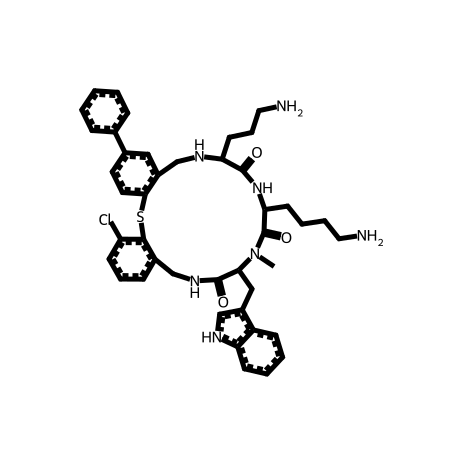 CN1C(=O)C(CCCCN)NC(=O)C(CCCN)NCc2cc(-c3ccccc3)ccc2Sc2c(Cl)cccc2CNC(=O)C1Cc1c[nH]c2ccccc12